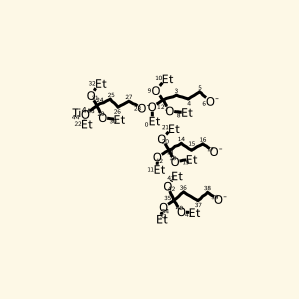 CCOC(CCC[O-])(OCC)OCC.CCOC(CCC[O-])(OCC)OCC.CCOC(CCC[O-])(OCC)OCC.CCOC(CCC[O-])(OCC)OCC.[Ti+4]